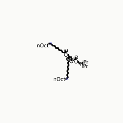 CCCCCCCC/C=C\CCCCCCCC(=O)OCC(CNC(=O)OCCN(C(C)C)C(C)C)OC(=O)CCCCCCC/C=C\CCCCCCCC